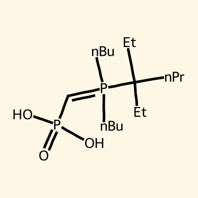 CCCCP(=CP(=O)(O)O)(CCCC)C(CC)(CC)CCC